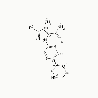 CCc1nn(-c2ccc([C@@H]3CNCCO3)nc2)c(C(N)=O)c1C